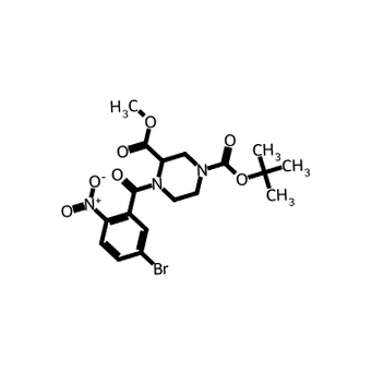 COC(=O)C1CN(C(=O)OC(C)(C)C)CCN1C(=O)c1cc(Br)ccc1[N+](=O)[O-]